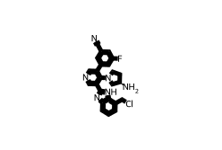 N#Cc1cc(F)cc(-c2cncc(-c3nc4cccc(CCl)c4[nH]3)c2N2CC[C@H](N)C2)c1